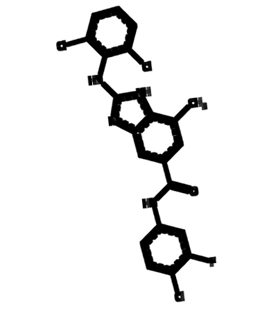 Cc1cc(C(=O)Nc2ccc(Cl)c(F)c2)cc2nc(Nc3c(Cl)cccc3Cl)[nH]c12